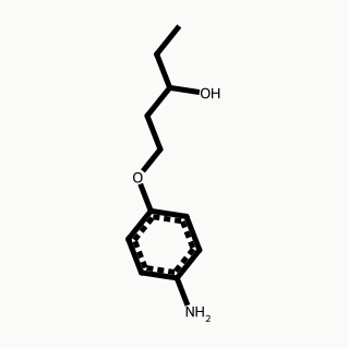 CCC(O)CCOc1ccc(N)cc1